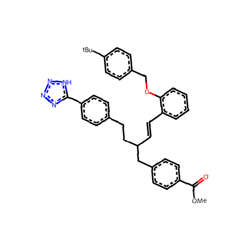 COC(=O)c1ccc(CC(/C=C/c2ccccc2OCc2ccc(C(C)(C)C)cc2)CCc2ccc(-c3nnn[nH]3)cc2)cc1